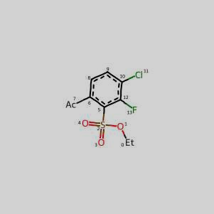 CCOS(=O)(=O)c1c(C(C)=O)ccc(Cl)c1F